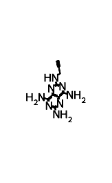 C#CCNc1nc(N)c2nc(N)nc(N)c2n1